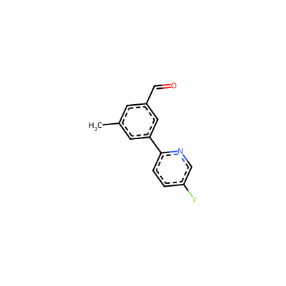 Cc1cc(C=O)cc(-c2ccc(F)cn2)c1